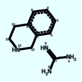 N=C(N)N.c1ccc2c(c1)CCNC2